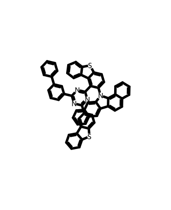 c1ccc(-c2cccc(-c3nc(-c4ccc5sc6ccccc6c5c4)nc(-c4c(-n5c6cc7ccccc7cc6c6ccc7ccccc7c65)ccc5sc6ccccc6c45)n3)c2)cc1